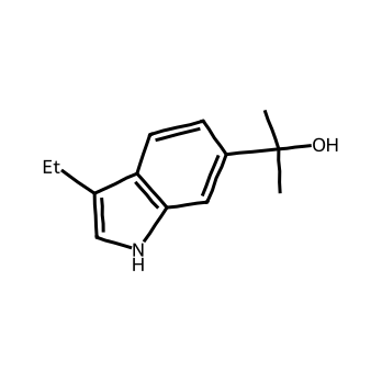 CCc1c[nH]c2cc(C(C)(C)O)ccc12